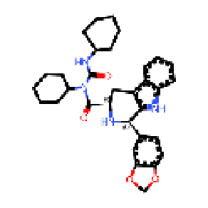 O=C(NC1CCCCC1)N(C(=O)[C@H]1Cc2c([nH]c3ccccc23)[C@@H](c2ccc3c(c2)OCO3)N1)C1CCCCC1